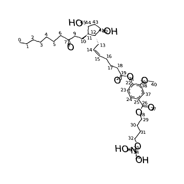 CCCCCCCC(=O)CC[C@@H]1[C@@H](C/C=C\CCCC(=O)Oc2ccc(C(=O)OCCCCON(O)O)cc2OC)[C@@H](O)C[C@H]1O